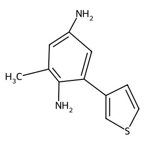 Cc1cc(N)cc(-c2ccsc2)c1N